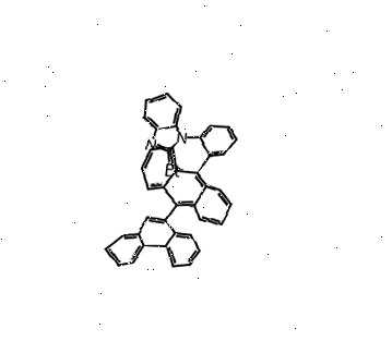 CCc1nc2ccccc2n1-c1ccccc1-c1c2ccccc2c(-c2cc3ccccc3c3ccccc23)c2ccccc12